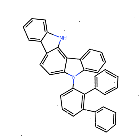 c1ccc(-c2cccc(-n3c4ccccc4c4c5[nH]c6ccccc6c5ccc43)c2-c2ccccc2)cc1